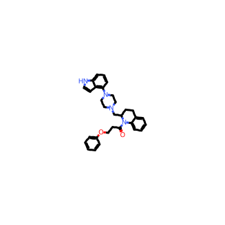 O=C(CCOc1ccccc1)N1c2ccccc2CCC1CN1CCN(c2cccc3[nH]ccc23)CC1